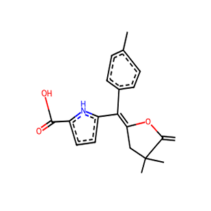 C=C1OC(=C(c2ccc(C)cc2)c2ccc(C(=O)O)[nH]2)CC1(C)C